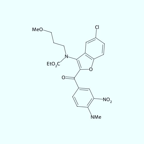 CCOC(=O)N(CCCOC)c1c(C(=O)c2ccc(NC)c([N+](=O)[O-])c2)oc2ccc(Cl)cc12